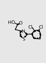 O=C(O)Cc1csc(-c2cccc(Cl)c2Cl)n1